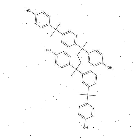 CC(C)(c1ccc(O)cc1)c1ccc(C(C)(CCC(C)(c2ccc(O)cc2)c2cccc(C(C)(C)c3ccc(O)cc3)c2)c2ccc(O)cc2)cc1